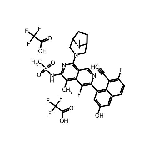 C#Cc1c(F)ccc2cc(O)cc(-c3ncc4c(N5CC6CCC(C5)N6)nc(NS(C)(=O)=O)c(C)c4c3F)c12.O=C(O)C(F)(F)F.O=C(O)C(F)(F)F